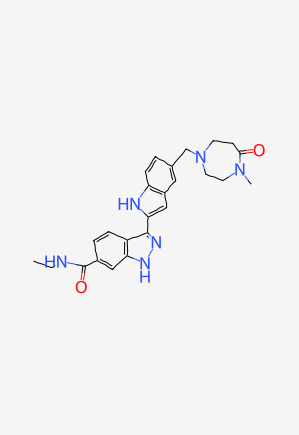 CCNC(=O)c1ccc2c(-c3cc4cc(CN5CCC(=O)N(C)CC5)ccc4[nH]3)n[nH]c2c1